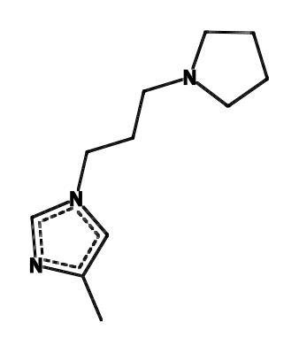 Cc1cn(CCCN2CCCC2)cn1